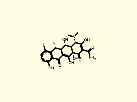 C[C@H]1c2c(I)ccc(O)c2C(=O)C2=C(O)[C@]3(O)C(=O)C(C(N)=O)=C(O)[C@@H](N(C)C)C3[C@@H](O)C21